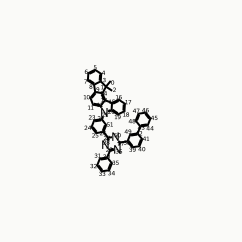 CC1(C)c2ccccc2-c2ccc3c(c21)c1ccccc1n3-c1cccc(-c2nc(-c3ccccc3)nc(-c3cccc(-c4ccccc4)c3)n2)c1